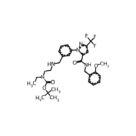 CCN(CCNCc1cccc(-n2nc(C(F)(F)F)cc2C(=O)NCc2ccccc2OC)c1)C(=O)OC(C)(C)C